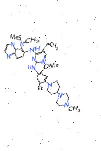 C=Cc1cnc(Nc2cc(CC)c(N3CCC(N4CCN(C)CC4)CC3)cc2OC)nc1Nc1ccc2nccnc2c1N(C)SC